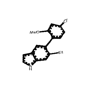 CCc1cc2[nH]ccc2cc1-c1ccc(Cl)cc1OC